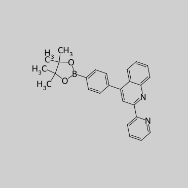 CC1(C)OB(c2ccc(-c3cc(-c4ccccn4)nc4ccccc34)cc2)OC1(C)C